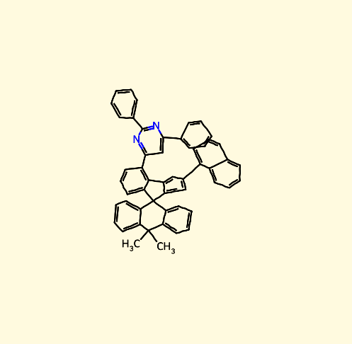 CC1(C)c2ccccc2C2(c3ccc(-c4cccc5ccccc45)cc3-c3c(-c4cc(-c5ccccc5)nc(-c5ccccc5)n4)cccc32)c2ccccc21